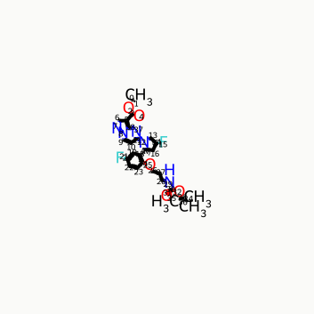 CCOC(=O)c1cnn2ccc(N3C[C@@H](F)C[C@@H]3c3cc(F)ccc3OCCCNC(=O)OC(C)(C)C)nc12